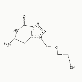 NC1Cc2c(ncn2COCCO)C(=O)N1